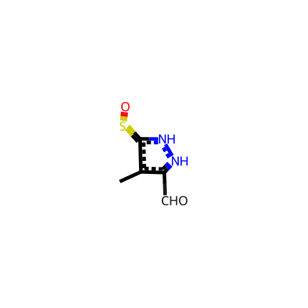 Cc1c(C=O)[nH][nH]c1=S=O